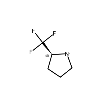 FC(F)(F)[C@@H]1CCC[N]1